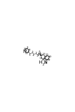 CN(CCCCCc1cccnc1)C1CCc2c(N)cccc2C1